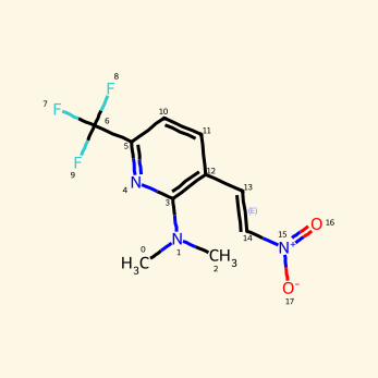 CN(C)c1nc(C(F)(F)F)ccc1/C=C/[N+](=O)[O-]